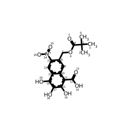 CC(C)(C)C(=O)OCc1cc2c(C(=O)O)c(O)c(O)c(O)c2cc1[N+](=O)[O-]